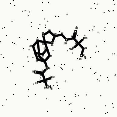 CC(F)(F)C(=O)OC12CC3CC(C1)C1(OCC(COC(=O)C(F)(F)CC(F)(F)F)O1)C(C3)C2